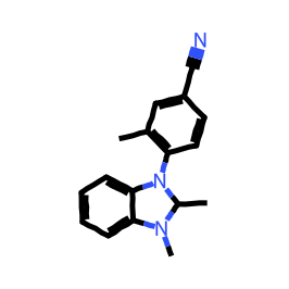 Cc1cc(C#N)ccc1N1c2ccccc2N(C)C1C